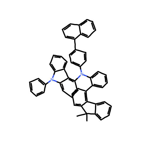 CC1(C)c2ccccc2-c2c(-c3ccccc3N(c3ccc(-c4cccc5ccccc45)cc3)c3cccc4c3c3ccccc3n4-c3ccccc3)cccc21